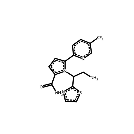 NCC(c1nccs1)n1c(C(N)=O)ccc1-c1ccc(C(F)(F)F)cn1